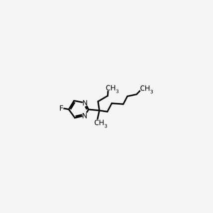 CCCCCCC(C)(CCC)c1ncc(F)cn1